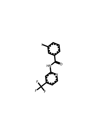 O=C(Nc1cc(C(F)(F)F)ccn1)c1cccc(I)c1